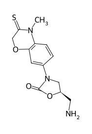 CN1C(=S)COc2cc(N3C[C@@H](CN)OC3=O)ccc21